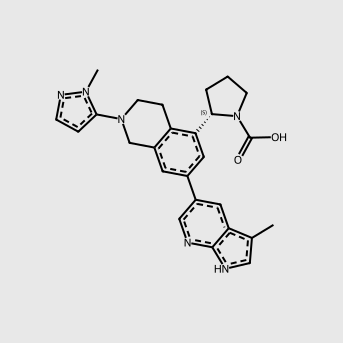 Cc1c[nH]c2ncc(-c3cc4c(c([C@@H]5CCCN5C(=O)O)c3)CCN(c3ccnn3C)C4)cc12